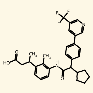 Cc1c(NC(=O)C(c2ccc(-c3cncc(C(F)(F)F)c3)cc2)C2CCCC2)cccc1C(C)CC(=O)O